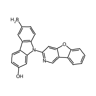 Bc1ccc2c(c1)c1ccc(O)cc1n2-c1cc2oc3ccccc3c2cn1